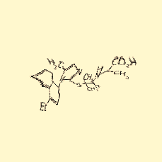 CCc1ccc(-n2c(C)cnc2SC(C)(C)C(=O)NC(C)C(=O)O)c2ccccc12